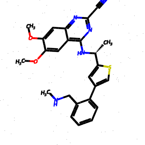 CNCc1ccccc1-c1csc([C@@H](C)Nc2nc(C#N)nc3cc(OC)c(OC)cc23)c1